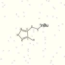 CCCCCCC1=[C]CC=C1C